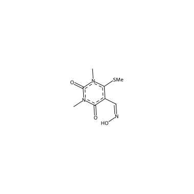 CSc1c(/C=N\O)c(=O)n(C)c(=O)n1C